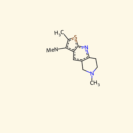 CNc1c(C)sc2nc3c(cc12)CN(C)CC3